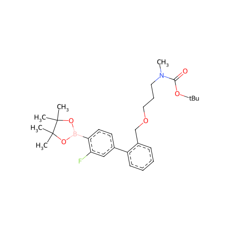 CN(CCCOCc1ccccc1-c1ccc(B2OC(C)(C)C(C)(C)O2)c(F)c1)C(=O)OC(C)(C)C